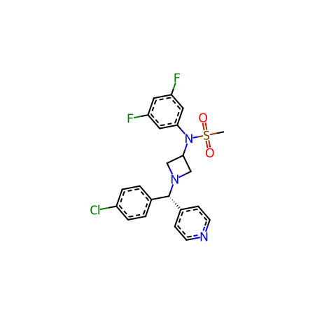 CS(=O)(=O)N(c1cc(F)cc(F)c1)C1CN([C@H](c2ccncc2)c2ccc(Cl)cc2)C1